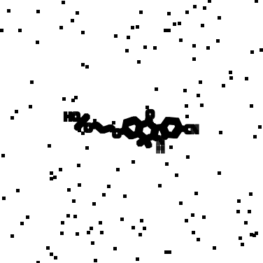 CC(C)(O)OCCCOc1ccc2c(c1)C(C)(C)c1[nH]c3cc(C#N)ccc3c1C2=O